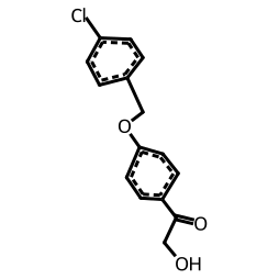 O=C(CO)c1ccc(OCc2ccc(Cl)cc2)cc1